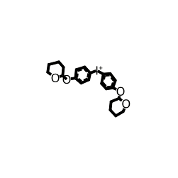 c1cc([I+]c2ccc(OC3CCCCO3)cc2)ccc1OC1CCCCO1